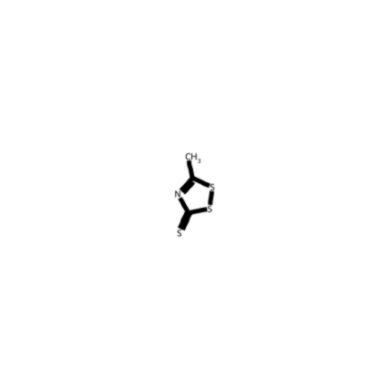 Cc1nc(=S)ss1